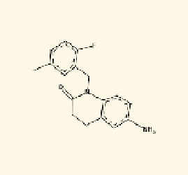 Cc1ccc(F)c(CN2C(=O)CCc3cc(N)ccc32)c1